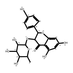 CC1OC(OC2C(=O)c3c(O)cc(O)cc3OC2c2ccc(O)cc2)C(O)C(O)C1O